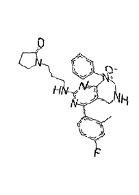 Cc1cc(F)ccc1-c1nc(NCCCN2CCCC2=O)nc2c1CNC[N+]2([O-])c1ccccc1